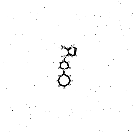 Nc1ncccc1NC1CCN(C2CCCCCCC2)CC1